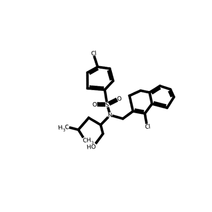 CC(C)CC(CO)N(CC1=C(Cl)c2ccccc2CC1)S(=O)(=O)c1ccc(Cl)cc1